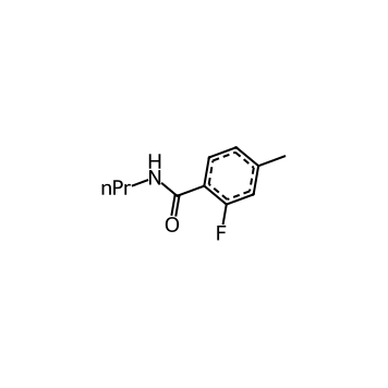 CCCNC(=O)c1ccc(C)cc1F